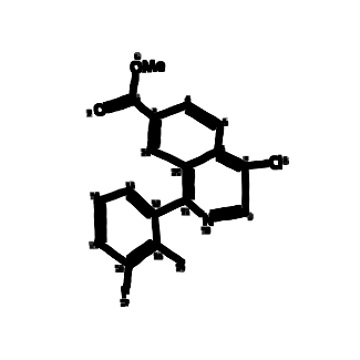 COC(=O)c1ccc2c(Cl)cnc(-c3cccc(F)c3C)c2c1